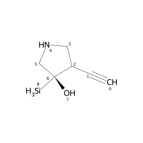 C#CC1CNC[C@@]1(O)[SiH3]